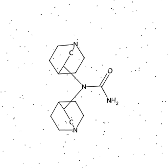 NC(=O)N(C1CN2CCC1CC2)C1CN2CCC1CC2